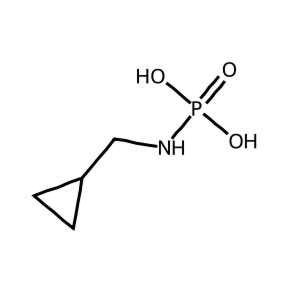 O=P(O)(O)NCC1CC1